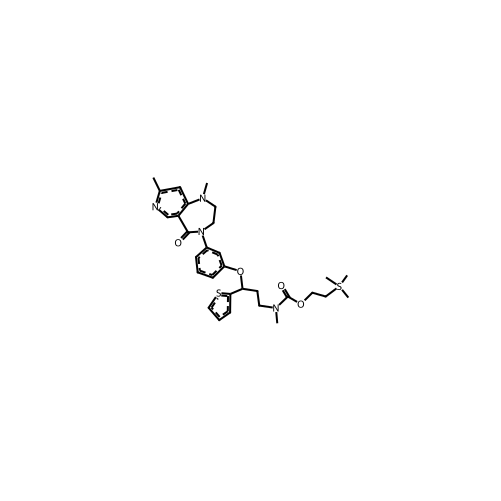 Cc1cc2c(cn1)C(=O)N(c1cccc(OC(CCN(C)C(=O)OCCS(C)(C)C)c3cccs3)c1)CCN2C